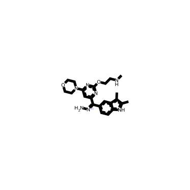 CNCCOc1nc(/C(=N\N)c2ccc3[nH]c(C)c(C)c3c2)cc(N2CCOCC2)n1